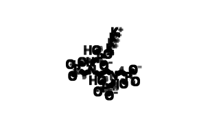 O=P([O-])(O)CN(CCN(CP(=O)([O-])O)CP(=O)([O-])O)CP(=O)([O-])O.[K+].[K+].[K+].[K+]